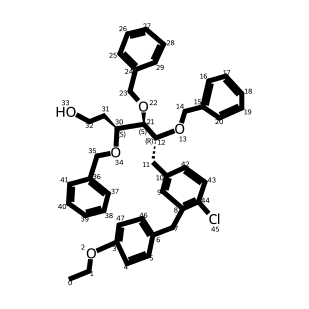 CCOc1ccc(Cc2cc(C[C@@H](OCc3ccccc3)[C@H](OCc3ccccc3)[C@H](CCO)OCc3ccccc3)ccc2Cl)cc1